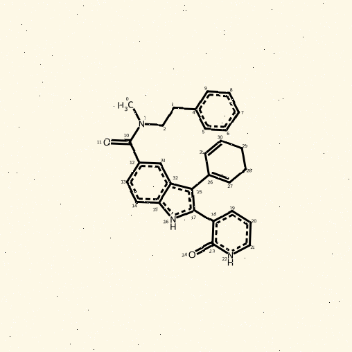 CN(CCc1ccccc1)C(=O)c1ccc2[nH]c(-c3ccc[nH]c3=O)c(C3=CCCC=C3)c2c1